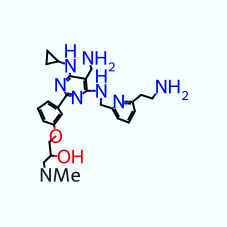 CNCC(O)COc1cccc(-c2nc(NCc3cccc(CCN)n3)c(CN)c(NC3CC3)n2)c1